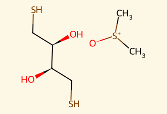 C[S+](C)[O-].O[C@H](CS)[C@H](O)CS